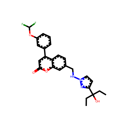 CCC(O)(CC)c1ccn(NCc2ccc3c(-c4cccc(OC(F)F)c4)cc(=O)oc3c2)n1